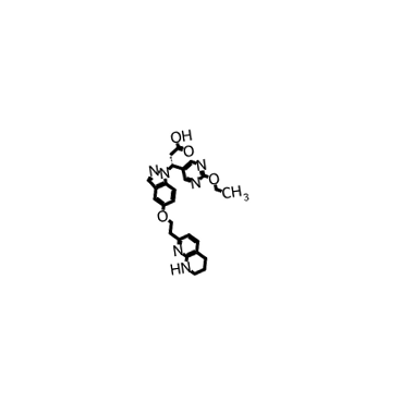 CCOc1ncc([C@@H](CC(=O)O)n2ncc3cc(OCCc4ccc5c(n4)NCCC5)ccc32)cn1